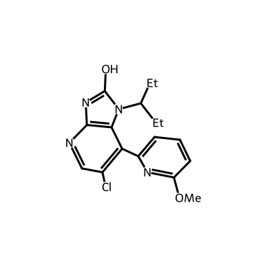 CCC(CC)n1c(O)nc2ncc(Cl)c(-c3cccc(OC)n3)c21